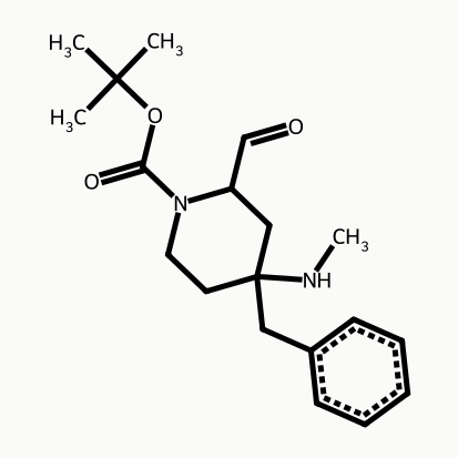 CNC1(Cc2ccccc2)CCN(C(=O)OC(C)(C)C)C(C=O)C1